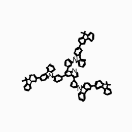 CC1(C)c2ccccc2-c2cc(-c3ccc4c(c3)c3ccccc3n4-c3cccc(-c4cc(-c5cccc(-n6c7ccccc7c7cc(-c8ccc9c(c8)-c8ccccc8C9(C)C)ccc76)c5)c5nccc(-c6cccc(-n7c8ccccc8c8cc(-c9ccc%10c(c9)-c9ccccc9C%10(C)C)ccc87)c6)c5c4)c3)ccc21